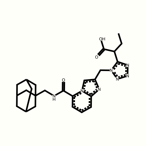 CCC(C(=O)O)c1nnnn1Cc1cn2c(C(=O)NCC34CC5CC(CC(C5)C3)C4)cccc2n1